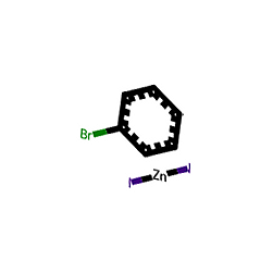 Brc1cc[c]cc1.[I][Zn][I]